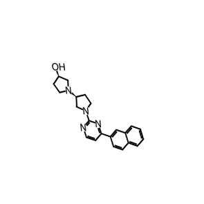 O[C@@H]1CCN([C@H]2CCN(c3nccc(-c4ccc5ccccc5c4)n3)C2)C1